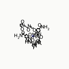 CCn1nc(C)cc1C(=O)Nc1nc2cc(C(N)=O)cc(OC)c2n1C/C=C/Cn1c(NC(=O)c2cc(C)no2)nc2cc(C(N)=O)cc(OCCCN(C)C(=O)CCN3C(=O)C=CC3=O)c21